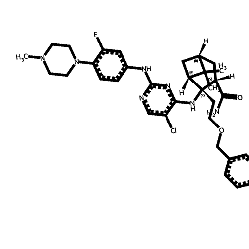 CN1CCN(c2ccc(Nc3ncc(Cl)c(N[C@@]4(CCOCc5ccccc5)[C@@H](C(N)=O)C[C@H]5C[C@@H]4C5(C)C)n3)cc2F)CC1